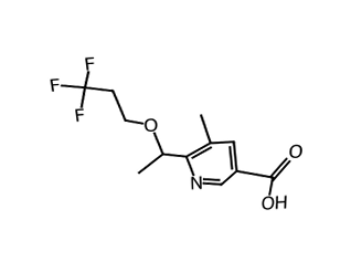 Cc1cc(C(=O)O)cnc1C(C)OCCC(F)(F)F